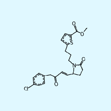 COC(=O)c1ccc(CCCN2C(=O)CCC2/C=C/C(=O)Cc2ccc(Cl)cc2)s1